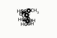 C[C@H]1CC[C@H](Oc2c(O)c(=O)oc3cc(O[C@@H]4O[C@H](CO)[C@H](O)[C@H](O)[C@H]4O)ccc23)CC1